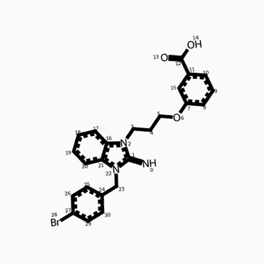 N=c1n(CCCOc2cccc(C(=O)O)c2)c2ccccc2n1Cc1ccc(Br)cc1